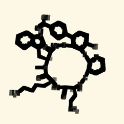 CN1C(=O)[C@H](CCCCN)NC(=O)[C@H](CCN)NCc2cccnc2Sc2c(Cl)ccc(-c3ccc(C(=O)O)cc3)c2CNC(=O)[C@@H]1Cc1c[nH]c2ccccc12